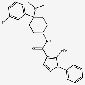 CCCc1c(C(=O)NC2CCC(c3cccc(F)c3)(N(C)C)CC2)cnn1-c1ccccc1